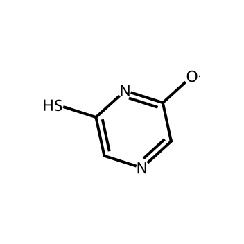 [O]c1cncc(S)n1